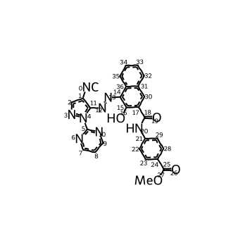 [C-]#[N+]c1cnn(-c2ncccn2)c1/N=N/c1c(O)c(C(=O)Nc2ccc(C(=O)OC)cc2)cc2ccccc12